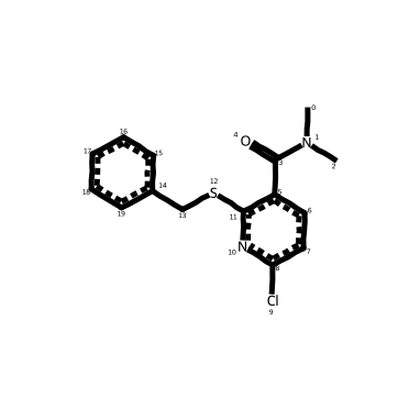 CN(C)C(=O)c1ccc(Cl)nc1SCc1ccccc1